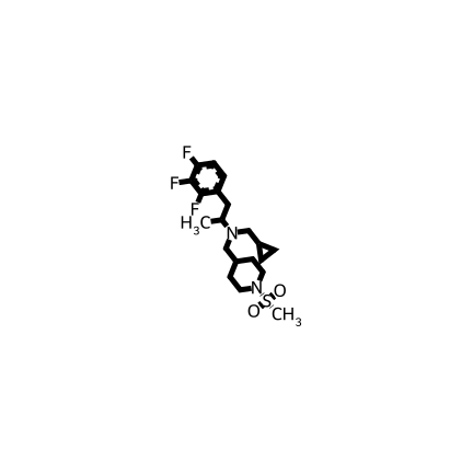 CC(Cc1ccc(F)c(F)c1F)N(CC1CC1)CC1CCN(S(C)(=O)=O)CC1